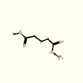 COC(=O)CCCC(=O)ON